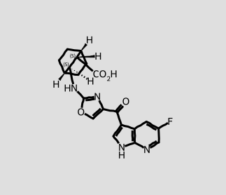 O=C(c1coc(N[C@H]2[C@H]3CC[C@H](CC3)[C@@H]2C(=O)O)n1)c1c[nH]c2ncc(F)cc12